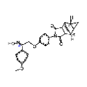 COc1ccc(/C(COc2ccc(N3C(=O)C4C(C3=O)[C@H]3C=CC4[C@@H]4CC34)cc2)=N\O)cc1